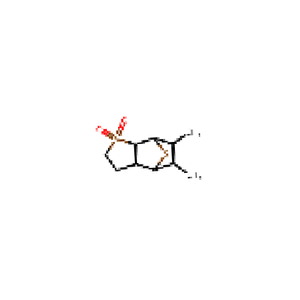 CC1C(C)C2SC1C1CCS(=O)(=O)C12